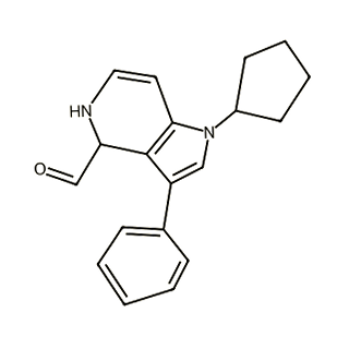 O=CC1NC=Cc2c1c(-c1ccccc1)cn2C1CCCC1